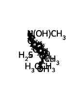 C[C@H](CCCC(C)(C)O)C1CCC2C3CC=C4CC(OOSN(C)O)CCC4(C)C3CCC21C.S